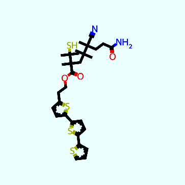 CC(C)(S)C(C)(CC(C)(C)C(C)(C#N)CCC(N)=O)C(=O)OCCc1ccc(-c2ccc(-c3cccs3)s2)s1